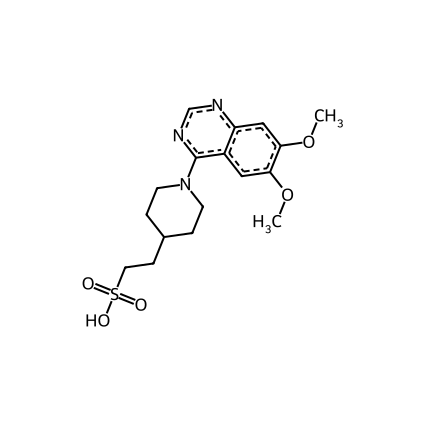 COc1cc2ncnc(N3CCC(CCS(=O)(=O)O)CC3)c2cc1OC